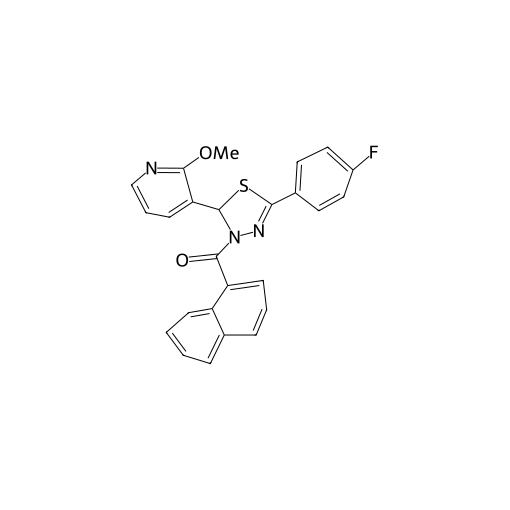 COc1ncccc1C1SC(c2ccc(F)cc2)=NN1C(=O)c1cccc2ccccc12